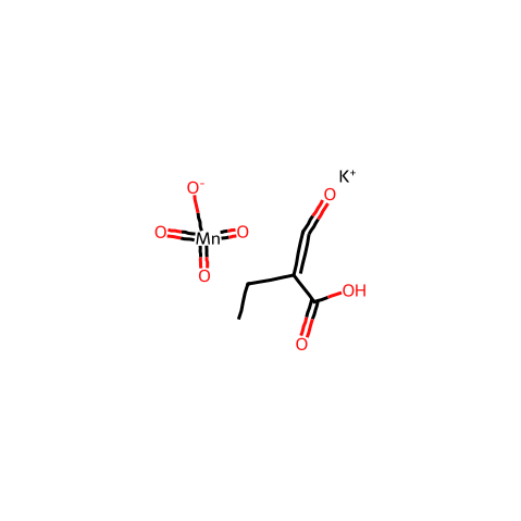 CCC(=C=O)C(=O)O.[K+].[O]=[Mn](=[O])(=[O])[O-]